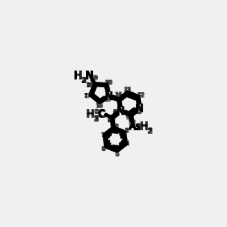 C[C@H](c1ccccc1)N1C([AsH2])=NC=CC1N1CC[C@@H](N)C1